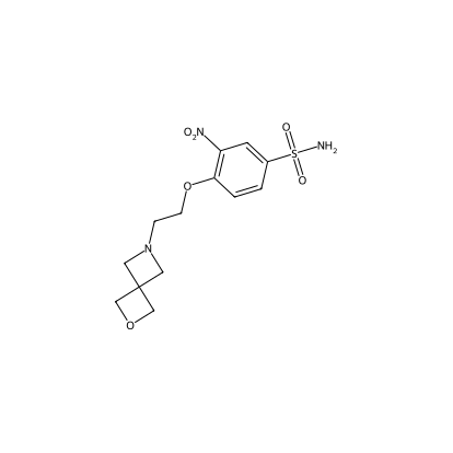 NS(=O)(=O)c1ccc(OCCN2CC3(COC3)C2)c([N+](=O)[O-])c1